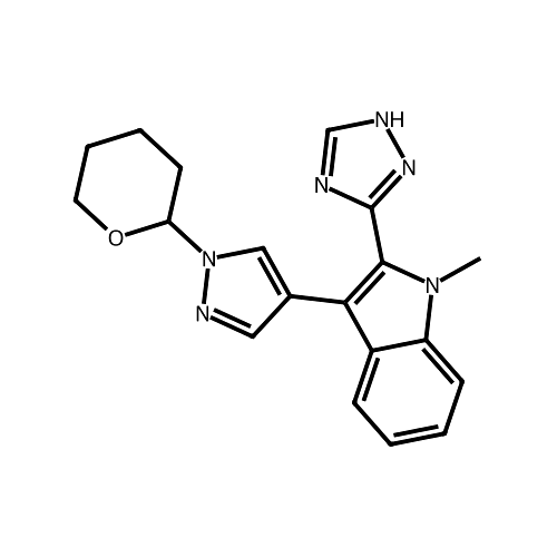 Cn1c(-c2nc[nH]n2)c(-c2cnn(C3CCCCO3)c2)c2ccccc21